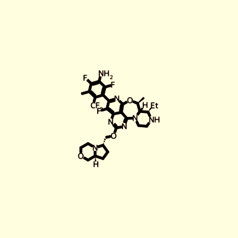 CC[C@@H]1NCCN2c3nc(OC[C@@H]4CC[C@H]5COCCN54)nc4c(F)c(-c5c(F)c(N)c(F)c(C)c5C(F)(F)F)nc(c34)O[C@@H](C)[C@H]12